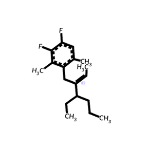 C/C=C(\Cc1c(C)cc(F)c(F)c1C)C(CC)CCC